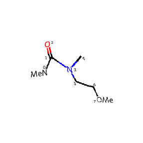 CNC(=O)N(C)CCOC